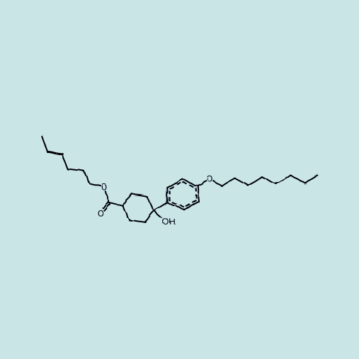 CCCCCCCCOc1ccc(C2(O)CCC(C(=O)OCCCCCC)CC2)cc1